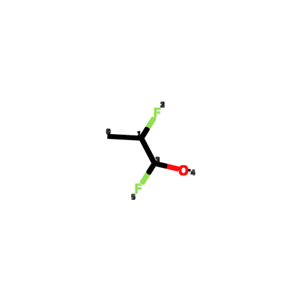 CC(F)C([O])F